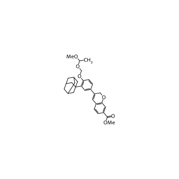 COC(=O)c1ccc2c(c1)OCC(c1ccc(OCOC(C)OC)c(C34CC5CC(CC(C5)C3)C4)c1)=C2